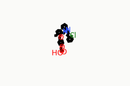 CCc1cccc(Cn2c(CCc3ccccc3Cl)nc3ccccc32)c1OCc1ccc(OCC(=O)O)cc1